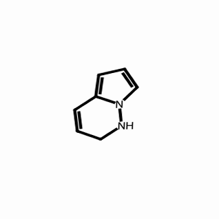 C1=Cc2cccn2NC1